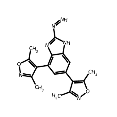 Cc1noc(C)c1-c1cc(-c2c(C)noc2C)c2nc(N=N)[nH]c2c1